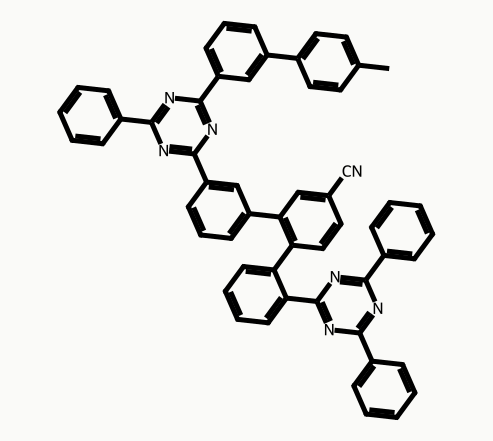 Cc1ccc(-c2cccc(-c3nc(-c4ccccc4)nc(-c4cccc(-c5cc(C#N)ccc5-c5ccccc5-c5nc(-c6ccccc6)nc(-c6ccccc6)n5)c4)n3)c2)cc1